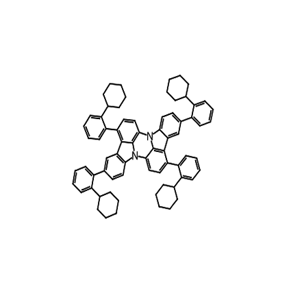 c1ccc(C2CCCCC2)c(-c2ccc3c(c2)c2c(-c4ccccc4C4CCCCC4)ccc4c2n3c2ccc(-c3ccccc3C3CCCCC3)c3c5cc(-c6ccccc6C6CCCCC6)ccc5n4c32)c1